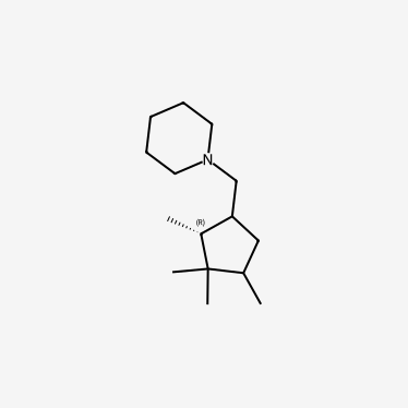 CC1CC(CN2CCCCC2)[C@@H](C)C1(C)C